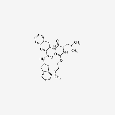 COCCOC(=O)NC(CC(C)C)C(=O)NC(Cc1ccccc1)C(=O)C(=O)NC1Cc2ccccc2C1